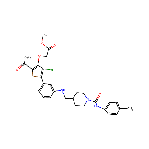 COC(=O)c1sc(-c2cccc(NCC3CCN(C(=O)Nc4ccc(C)cc4)CC3)c2)c(Br)c1OCC(=O)OC(C)(C)C